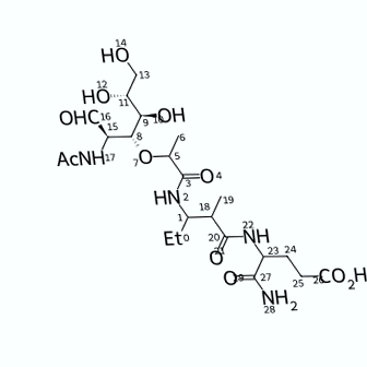 CCC(NC(=O)C(C)O[C@@H]([C@H](O)[C@H](O)CO)[C@H](C=O)NC(C)=O)C(C)C(=O)NC(CCC(=O)O)C(N)=O